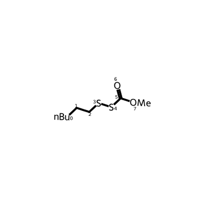 CCCCCCSSC(=O)OC